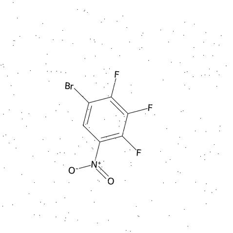 O=[N+]([O-])c1cc(Br)c(F)c(F)c1F